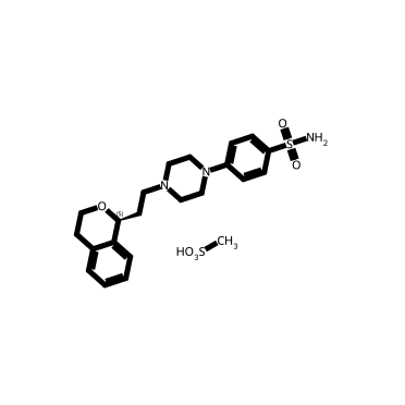 CS(=O)(=O)O.NS(=O)(=O)c1ccc(N2CCN(CC[C@@H]3OCCc4ccccc43)CC2)cc1